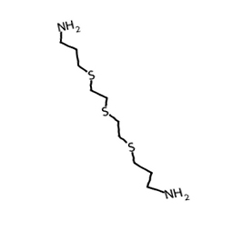 NCCCSCCSCCSCCCN